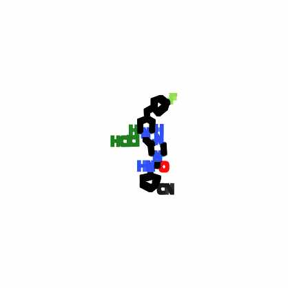 Cl.Cl.N#Cc1cccc(NC(=O)N2CCNC(CN3CCC(Cc4ccc(F)cc4)CC3)C2)c1